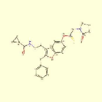 O=C(NCCc1c(Cc2ccccc2)oc2ccc(OC(=S)CN3CCCC3=O)cc12)C1CC1